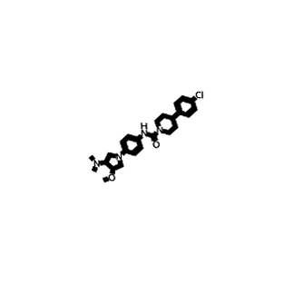 COC1CN(c2ccc(NC(=O)N3CCC(c4ccc(Cl)cc4)CC3)cc2)CC1N(C)C